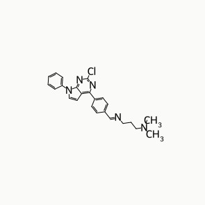 CN(C)CCC/N=C/c1ccc(-c2nc(Cl)nc3c2ccn3-c2ccccc2)cc1